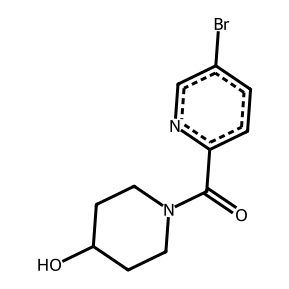 O=C(c1ccc(Br)cn1)N1CCC(O)CC1